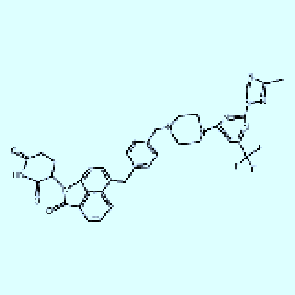 Cc1ncn(-c2nc(N3CCN(Cc4ccc(Cc5ccc6c7c(cccc57)C(=O)N6C5CCC(=O)NC5=O)cc4)CC3)cc(C(F)(F)F)n2)n1